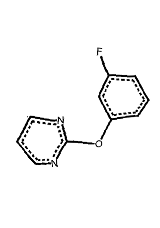 Fc1cccc(Oc2n[c]ccn2)c1